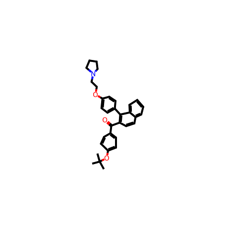 CC(C)(C)Oc1ccc(C(=O)c2ccc3ccccc3c2-c2ccc(OCCN3CCCC3)cc2)cc1